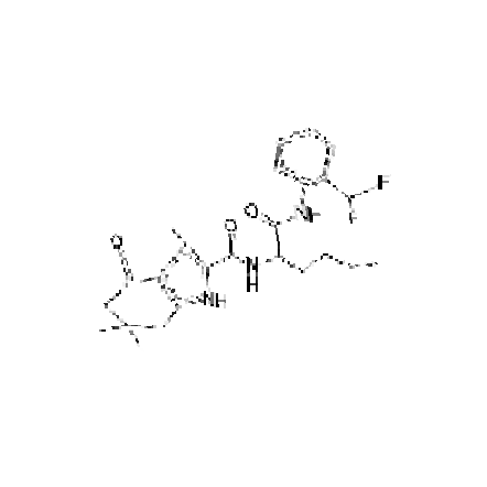 CCCCC(NC(=O)c1[nH]c2c(c1C)C(=O)CC(C)(C)C2)C(=O)Nc1ccccc1C(F)F